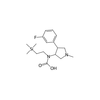 CN1CC(c2cccc(F)c2)C(N(CC[Si](C)(C)C)C(=O)O)C1